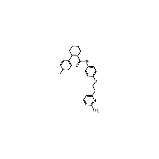 Cc1ccc(C2=C(C(=O)Nc3ccc(OCCc4cccc(N)n4)nc3)CCCC2)cc1